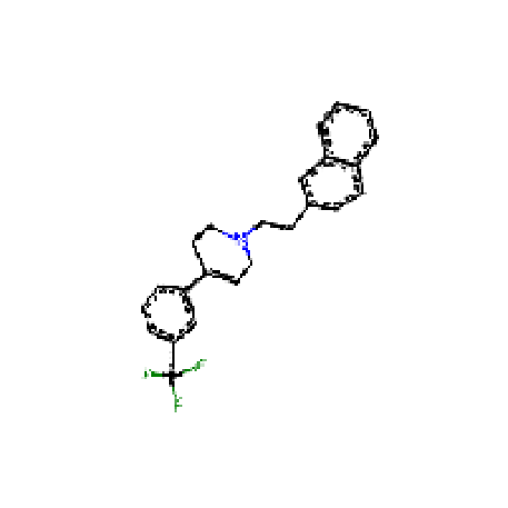 FC(F)(F)c1cccc(C2=CCN(CCc3ccc4ccccc4c3)CC2)c1